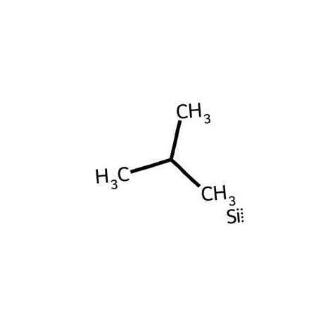 CC(C)C.[Si]